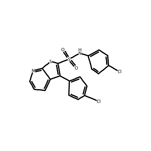 O=S(=O)(Nc1ccc(Cl)cc1)c1sc2ncccc2c1-c1ccc(Cl)cc1